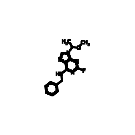 COC(C)n1cnc2c(NCc3ccccc3)nc(F)nc21